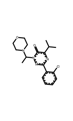 CC(C)c1nc(-c2ccccc2Cl)nn(C(C)N2CCOCC2)c1=O